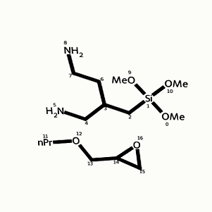 CO[Si](CC(CN)CCN)(OC)OC.[CH2]CCOCC1CO1